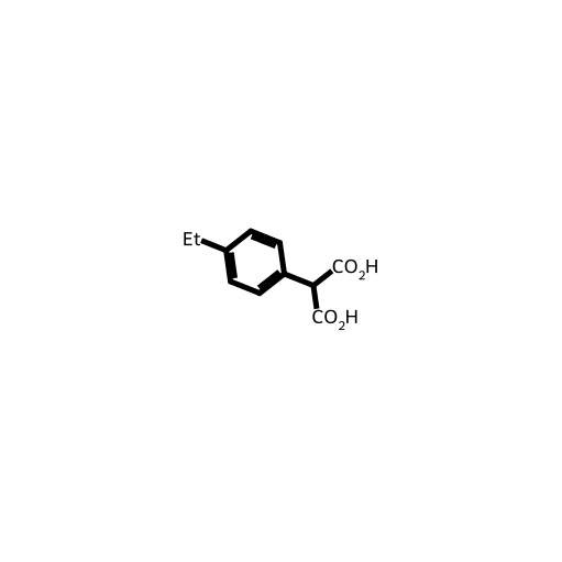 CCc1ccc(C(C(=O)O)C(=O)O)cc1